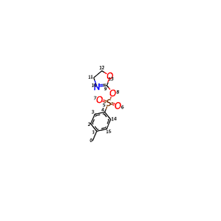 Cc1ccc(S(=O)(=O)OC2=NCCO2)cc1